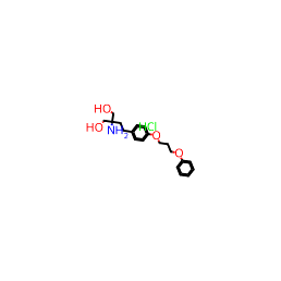 Cl.NC(CO)(CO)CCc1ccc(OCCCOc2ccccc2)cc1